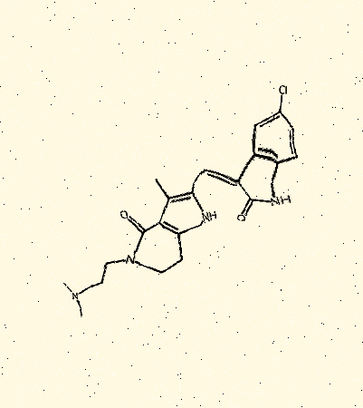 Cc1c(C=C2C(=O)Nc3ccc(Cl)cc32)[nH]c2c1C(=O)N(CCN(C)C)CC2